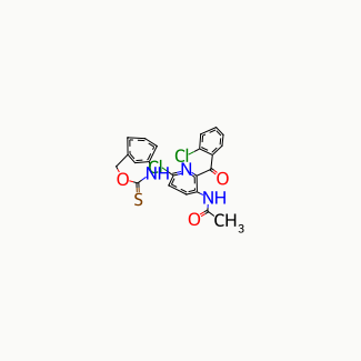 CC(=O)Nc1ccc(Cl)nc1C(=O)c1ccccc1Cl.S=C1Nc2cccc(c2)CO1